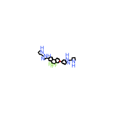 FC1(F)c2cc(-c3ccc4nc(C5CCCN5)[nH]c4c3)ccc2-c2ccc(-c3cnc(C4CCCN4)[nH]3)cc2C1(F)F